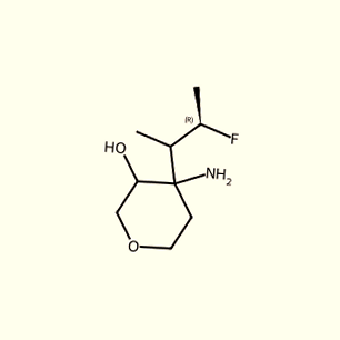 CC([C@@H](C)F)C1(N)CCOCC1O